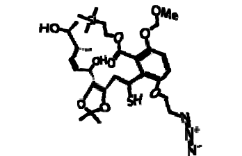 COCOc1ccc(OCCN=[N+]=[N-])c(C(S)C[C@H]2OC(C)(C)O[C@@H]2C(O)/C=C\[C@@H](C)[C@H](C)O)c1C(=O)OCC[Si](C)(C)C